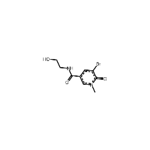 Cn1cc(C(=O)NCCO)cc(Br)c1=O